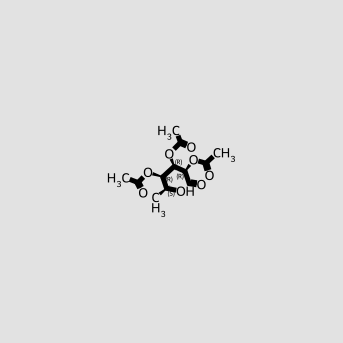 CC(=O)O[C@H]([C@H](OC(C)=O)[C@H](C)O)[C@H](C=O)OC(C)=O